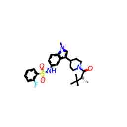 C[C@@H](C(=O)N1CCC(c2cn(C)c3ccc(NS(=O)(=O)c4ccccc4F)cc23)CC1)C(C)(C)C